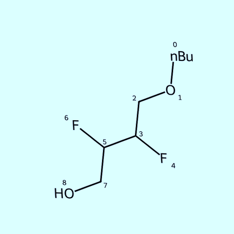 CCCCOCC(F)C(F)CO